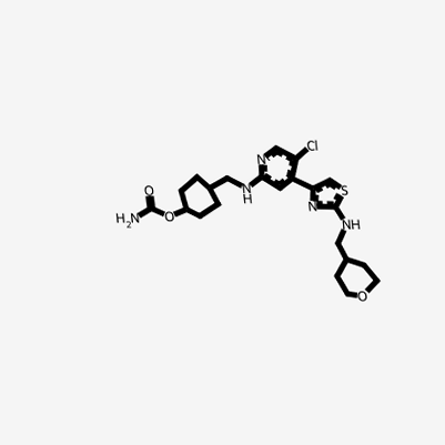 NC(=O)OC1CCC(CNc2cc(-c3csc(NCC4CCOCC4)n3)c(Cl)cn2)CC1